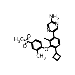 Cc1cc(S(C)(=O)=O)ccc1Oc1c(C2CCC2)ccc(-c2cnc(N)cn2)c1F